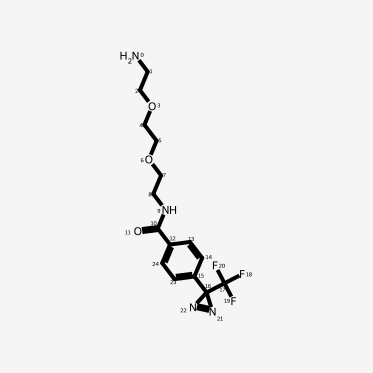 NCCOCCOCCNC(=O)c1ccc(C2(C(F)(F)F)N=N2)cc1